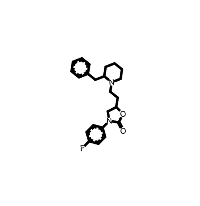 O=C1OC(CCN2CCCCC2Cc2ccccc2)CN1c1ccc(F)cc1